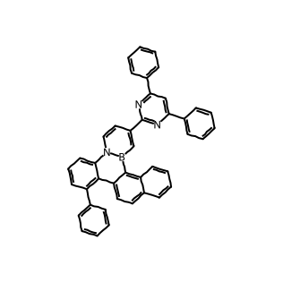 C1=CN2B(C=C1c1nc(-c3ccccc3)cc(-c3ccccc3)n1)c1c(ccc3ccccc13)-c1c(-c3ccccc3)cccc12